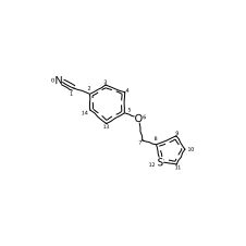 N#Cc1ccc(OCc2cccs2)cc1